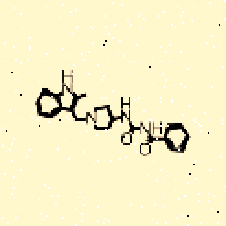 Cc1[nH]c2ccccc2c1CN1CCC(NC(=O)NC(=O)c2ccccc2)CC1